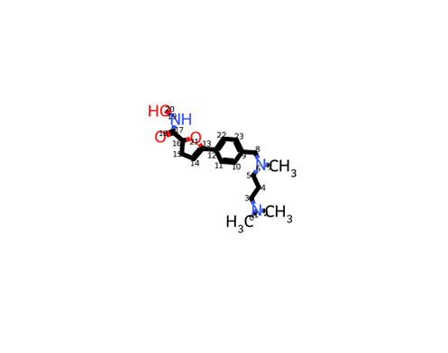 CN(C)CCCN(C)Cc1ccc(C2=CCC(C(=O)NO)O2)cc1